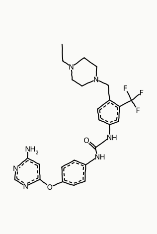 CCN1CCN(Cc2ccc(NC(=O)Nc3ccc(Oc4cc(N)ncn4)cc3)cc2C(F)(F)F)CC1